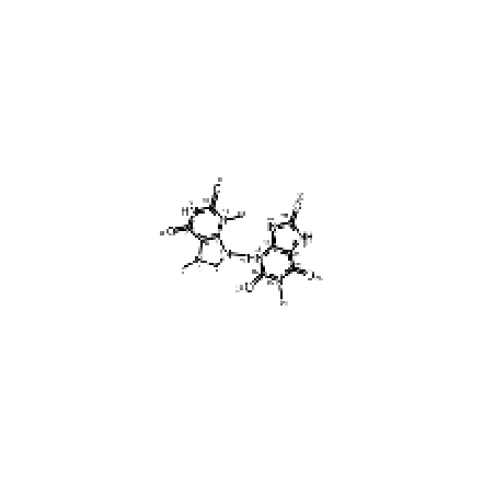 CN1CN(C)c2c1c(=O)[nH]c(=O)n2C.Cn1c(=O)[nH]c2[nH]c(=O)[nH]c2c1=O